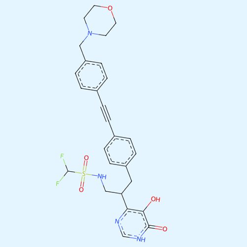 O=c1[nH]cnc(C(CNS(=O)(=O)C(F)F)Cc2ccc(C#Cc3ccc(CN4CCOCC4)cc3)cc2)c1O